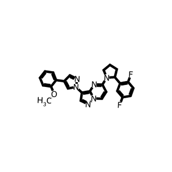 COc1ccccc1-c1cnn(-c2cnn3ccc(N4CCCC4c4cc(F)ccc4F)nc23)c1